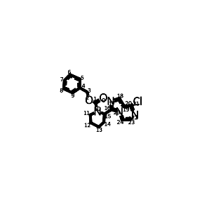 O=C(OCc1ccccc1)N1CCCCC1c1ncc2c(Cl)nccn12